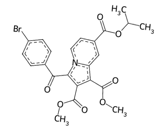 COC(=O)c1c(C(=O)OC)c2cc(C(=O)OC(C)C)ccn2c1C(=O)c1ccc(Br)cc1